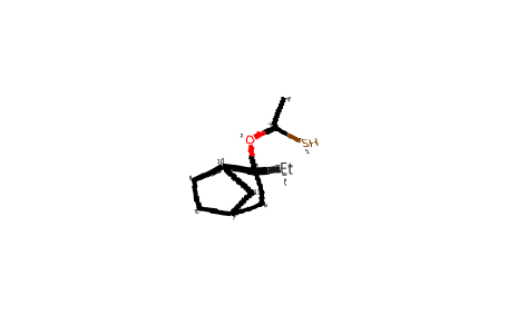 CCC1(OC(C)S)CC2CCC1C2